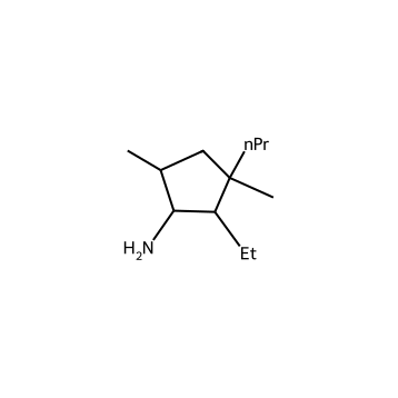 CCCC1(C)CC(C)C(N)C1CC